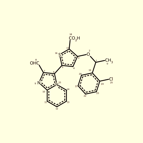 CC(Oc1cc(-c2c(C=O)nc3ccccn23)sc1C(=O)O)c1ccccc1Cl